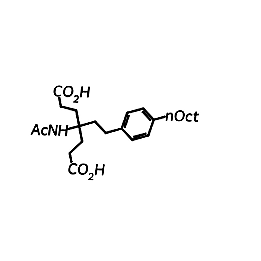 CCCCCCCCc1ccc(CCC(CCC(=O)O)(CCC(=O)O)NC(C)=O)cc1